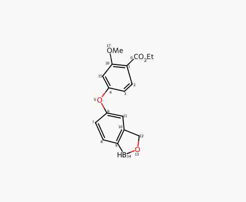 CCOC(=O)c1ccc(Oc2ccc3c(c2)COB3)cc1OC